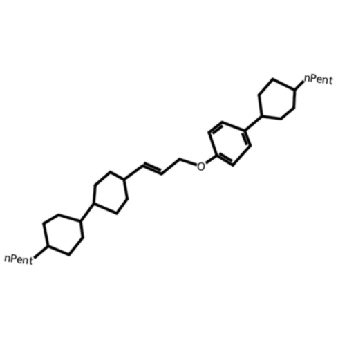 CCCCCC1CCC(c2ccc(OCC=CC3CCC(C4CCC(CCCCC)CC4)CC3)cc2)CC1